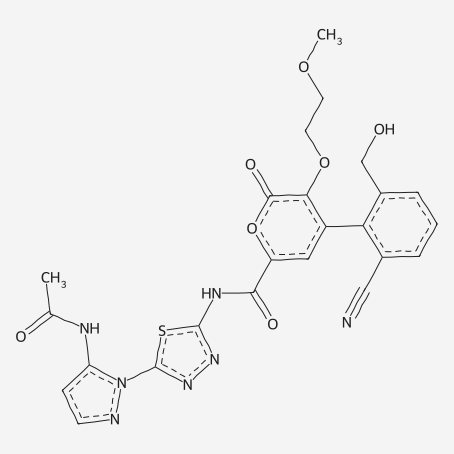 COCCOc1c(-c2c(C#N)cccc2CO)cc(C(=O)Nc2nnc(-n3nccc3NC(C)=O)s2)oc1=O